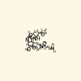 COc1ccc(-c2ccco2)cc1Nc1ncnc2cc(OC)c(OC3CCN(C(=O)/C=C/CN(C)C)CC3)cc12